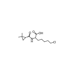 CC1(C)C[C@@H]1C(=O)NC(CCCCCCl)C(=O)O